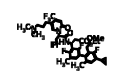 CCOC(=O)C[C@H](NC(=O)C(CC(C)C)n1cc(CCCN(C)C)c(C(F)(F)F)cc1=O)c1c(F)c(C)cc(-c2c(C)cc(C3CC3)c(F)c2CCOC)c1F